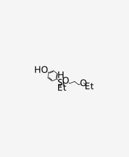 CCOCCCO[SiH](CC)c1ccc(O)cc1